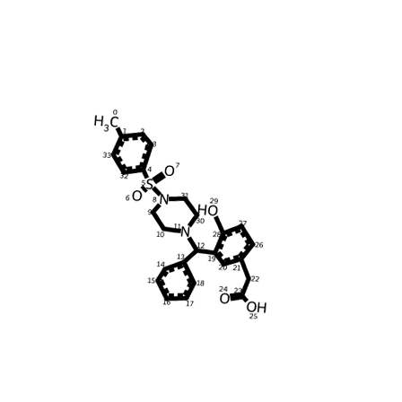 Cc1ccc(S(=O)(=O)N2CCN(C(c3ccccc3)c3cc(CC(=O)O)ccc3O)CC2)cc1